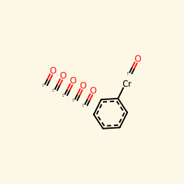 [C]=O.[C]=O.[C]=O.[C]=O.[C]=O.[C]=O.[Cr][c]1ccccc1